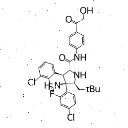 CC(C)(C)C[C@@H]1N[C@@H](C(=O)Nc2ccc(C(=O)CO)cc2)[C@H](c2cccc(Cl)c2F)[C@@]1(N)c1ccc(Cl)cc1F